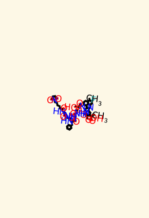 CC[C@@]1(O)C(=O)OCc2c1cc1n(c2=O)Cc2c-1nc1cc(F)c(C)c3c1c2[C@@H](NC(=O)[C@@H](CO)OCNC(=O)CNC(=O)[C@H](Cc1ccccc1)NC(=O)CNC(=O)CNC(=O)CCCCCN1C(=O)C=CC1=O)CC3